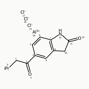 CC(C)CC(=O)c1ccc2c(c1)CC(=O)N2.[Al+3].[Cl-].[Cl-].[Cl-]